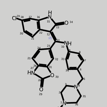 CN1CCN(Cc2ccc(N/C(=C3\C(=O)Nc4cc(Cl)ccc43)c3ccc4[nH]c(=O)oc4c3)cc2)CC1